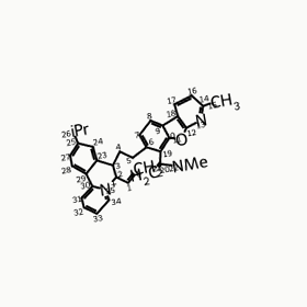 C=CC1C(CCc2ccc3c(oc4nc(C)ccc43)c2C(=C)NC)c2cc(C(C)C)ccc2-c2cccc[n+]21